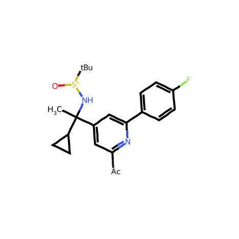 CC(=O)c1cc(C(C)(N[S+]([O-])C(C)(C)C)C2CC2)cc(-c2ccc(F)cc2)n1